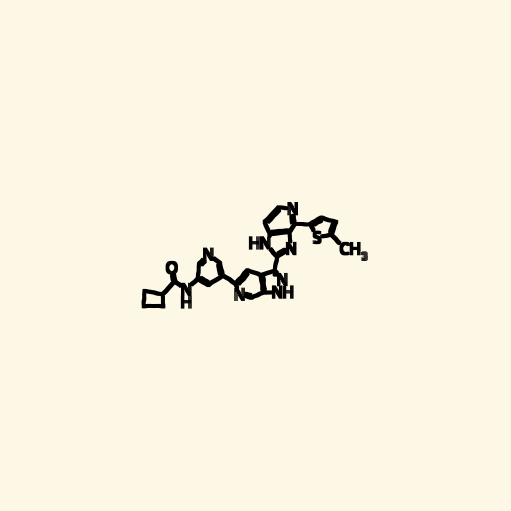 Cc1ccc(-c2nccc3[nH]c(-c4n[nH]c5cnc(-c6cncc(NC(=O)C7CCC7)c6)cc45)nc23)s1